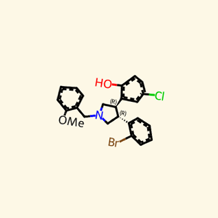 COc1ccccc1CN1C[C@@H](c2cc(Cl)ccc2O)[C@H](c2ccccc2Br)C1